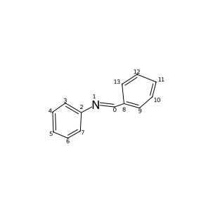 C(=N\c1ccccc1)/c1ccccc1